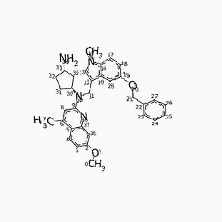 COc1ccc2c(C)cc(N(Cc3cn(C)c4ccc(OCc5ccccc5)cc34)[C@H]3CC[C@H](N)C3)nc2c1